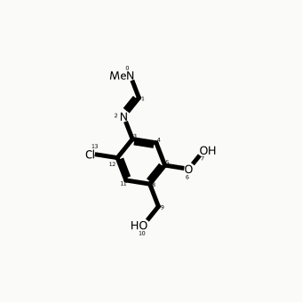 CN/C=N/c1cc(OO)c(CO)cc1Cl